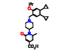 Cc1cc(C(=O)O)cc(=O)n1C1CCN(Cc2cc(C3CC3)c(C3CC3)cc2OC(C)C)CC1